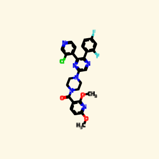 COc1ccc(C(=O)N2CCN(c3cnc(-c4ccc(F)cc4F)c(-c4ccncc4Cl)n3)CC2)c(OC)n1